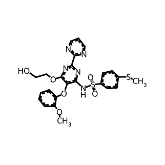 COc1ccccc1Oc1c(NS(=O)(=O)c2ccc(SC)cc2)nc(-c2ncccn2)nc1OCCO